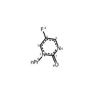 CCCn1cc(F)cnc1=O